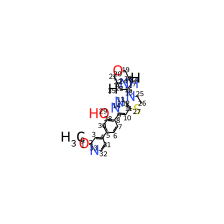 COc1cc(-c2ccc(-c3cc4c(nn3)N(C3C[C@H]5COC[C@@H](C3)N5)CCS4)c(O)c2)ccn1